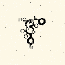 C[C@H](NC(=O)[C@@]1(C)COc2c(oc3cc(Br)ccc23)C(=O)N1CC(=O)O)c1ccccc1